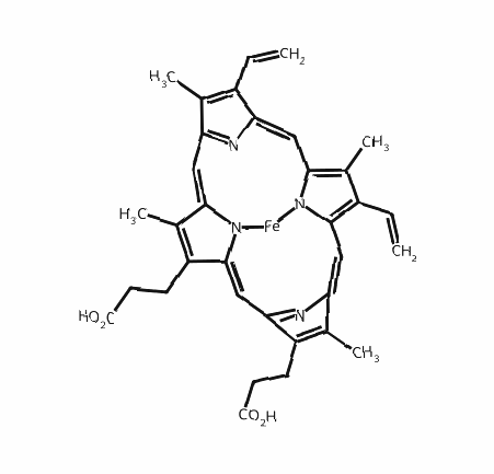 C=CC1=C(C)C2=NC/1=C\c1c(C)c(C=C)c3[n]1[Fe][n]1/c(c(C)c(CCC(=O)O)/c1=C/C1=NC(=C\3)/C(C)=C1CCC(=O)O)=C\2